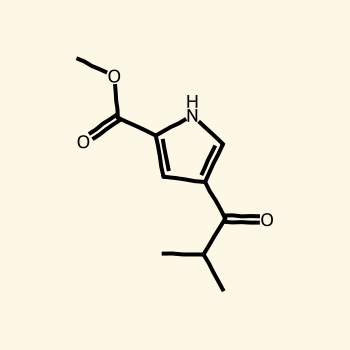 COC(=O)c1cc(C(=O)C(C)C)c[nH]1